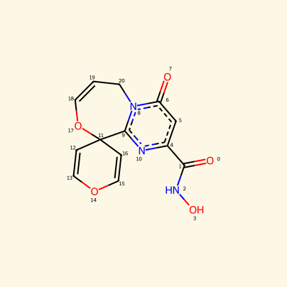 O=C(NO)c1cc(=O)n2c(n1)C1(C=COC=C1)OC=CC2